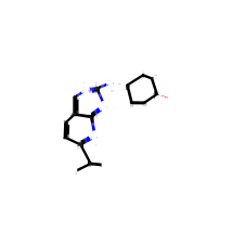 CC(C)c1ccc2cnc(N[C@H]3CC[C@H](O)CC3)nc2n1